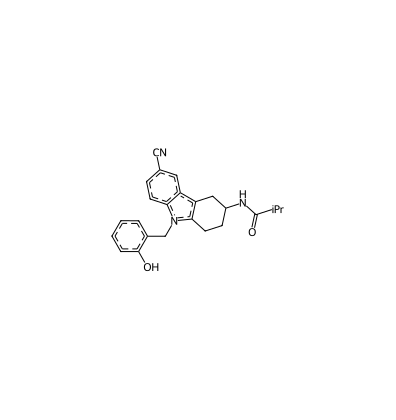 CC(C)C(=O)NC1CCc2c(c3cc(C#N)ccc3n2Cc2ccccc2O)C1